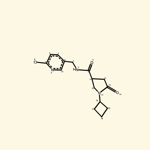 O=C(NCc1ccc(Cl)nc1)C1CC(=O)N(C2CCC2)C1